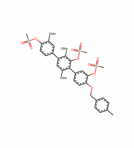 COc1cc(-c2cc(OC)c(-c3ccc(OCc4ccc(C)cc4)c(OS(C)(=O)=O)c3)c(OS(C)(=O)=O)c2OC)ccc1OS(C)(=O)=O